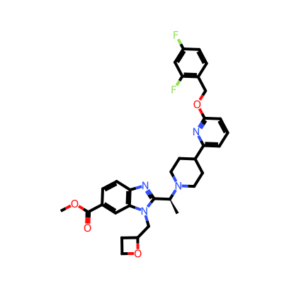 COC(=O)c1ccc2nc([C@H](C)N3CCC(c4cccc(OCc5ccc(F)cc5F)n4)CC3)n(CC3CCO3)c2c1